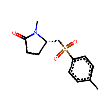 Cc1ccc(S(=O)(=O)C[C@@H]2CCC(=O)N2C)cc1